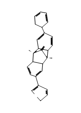 O=C1[C@@H]2C3C=CC(C4C=CC=CC4)=CC3[C@H]1C1C=CC(C3=CCCC=C3)=CC12